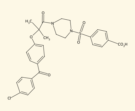 CC(C)(Oc1ccc(C(=O)c2ccc(Cl)cc2)cc1)C(=O)N1CCN(S(=O)(=O)c2ccc(C(=O)O)cc2)CC1